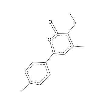 CCc1c(C)cc(-c2ccc(C)cc2)oc1=O